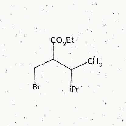 CCOC(=O)C(CBr)C(C)C(C)C